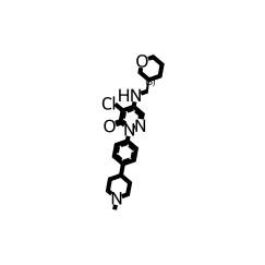 CN1CCC(c2ccc(-n3ncc(NC[C@@H]4CCCOC4)c(Cl)c3=O)cc2)CC1